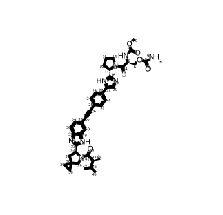 COC(=O)N[C@@H](COC(N)=O)C(=O)N1CCC[C@H]1c1ncc(-c2ccc(C#Cc3ccc4nc([C@@H]5CC6(CC6)CN5C(=O)[C@@H](C)C(C)C)[nH]c4c3)cc2)[nH]1